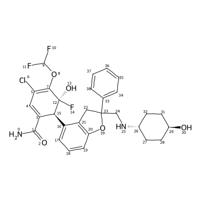 NC(=O)C1=CC(Cl)=C(OC(F)F)[C@@](O)(F)[C@H]1c1cccc2c1CC(CN[C@H]1CC[C@H](O)CC1)(c1ccccc1)O2